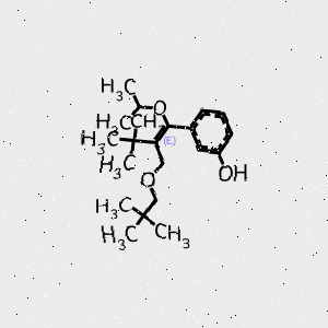 CC(C)O/C(=C(/COCC(C)(C)C)C(C)(C)C)c1cccc(O)c1